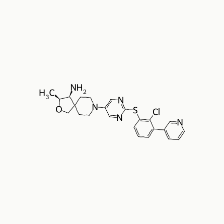 C[C@@H]1OCC2(CCN(c3cnc(Sc4cccc(-c5cccnc5)c4Cl)nc3)CC2)[C@@H]1N